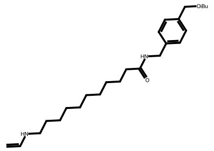 C=CNCCCCCCCCCCC(=O)NCc1ccc(COCC(C)C)cc1